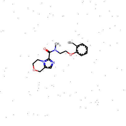 CN(CCOc1ccccc1C(C)(C)C)C(=O)c1ncc2n1CCOC2